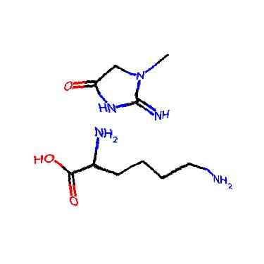 CN1CC(=O)NC1=N.NCCCCC(N)C(=O)O